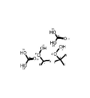 CC(C)(C)OO.CC(C)OO.O=C(O)O.O=C(O)O